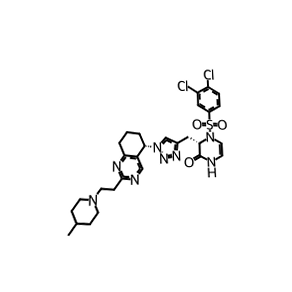 CC1CCN(CCc2ncc3c(n2)CCC[C@@H]3n2cc(C[C@H]3C(=O)NC=CN3S(=O)(=O)c3ccc(Cl)c(Cl)c3)nn2)CC1